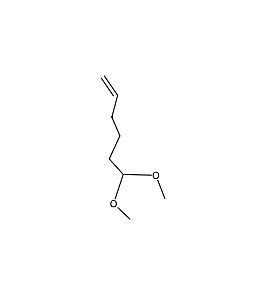 C=CCCCC(OC)OC